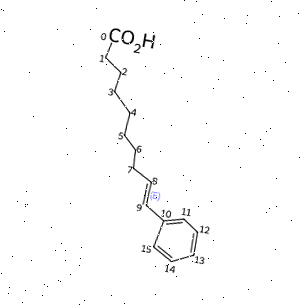 O=C(O)CCCCCCC/C=C/c1ccccc1